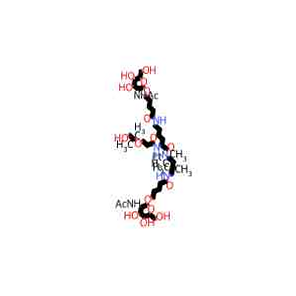 CCN(C(=O)C(CCCCNC(=O)CCCCOC1OC(CO)C(O)C(O)C1NC(C)=O)NC(=O)CCOC(C)(C)CO)C(C)(C)CC(C)(C)CNC(=O)CCCCOC1OC(CO)C(O)C(O)C1NC(C)=O